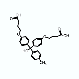 Cc1ccc(C(O)(c2ccc(OCCCC(=O)O)cc2)c2ccc(OCCCC(=O)O)cc2)cc1